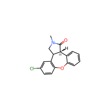 CN1CC2c3cc(Cl)ccc3Oc3ccccc3[C@H]2C1=O